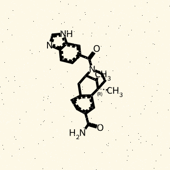 CC1C2Cc3ccc(C(N)=O)cc3[C@]1(C)CCN2C(=O)c1ccc2nc[nH]c2c1